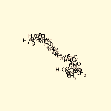 CCOc1cc([C@@H](CS(C)(=O)=O)N2C(=O)c3cccc(NC(=O)CCCCCN4CCC(N5CCC(c6cc7c(cc6F)C(=O)N(C(CCC(C)=O)C(C)=O)C7)CC5)CC4)c3C2=O)ccc1OC